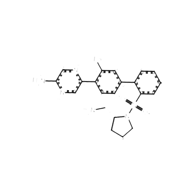 NC[C@H]1CCCN1S(=O)(=O)c1ccccc1-c1ccc(-c2cnc(N)cn2)c(F)c1